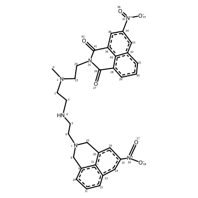 CN(CCNCCN1Cc2cccc3cc([N+](=O)[O-])cc(c23)C1)CCN1C(=O)c2cccc3cc([N+](=O)[O-])cc(c23)C1=O